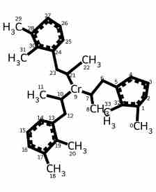 Cc1cccc(C[CH](C)[Cr]([CH](C)Cc2cccc(C)c2C)[CH](C)Cc2cccc(C)c2C)c1C